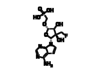 Nc1ncnc2c1ccn2[C@@H]1O[C@H](OCP(=O)(O)O)C(O)[C@]1(O)CF